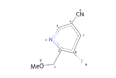 COCc1ncc(C#N)cc1F